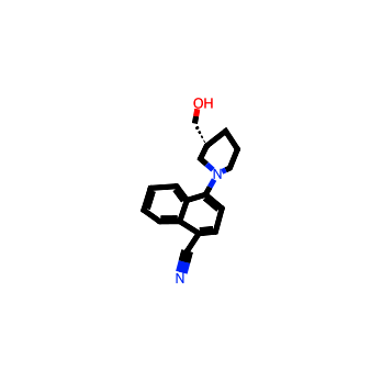 N#Cc1ccc(N2CCC[C@@H](CO)C2)c2ccccc12